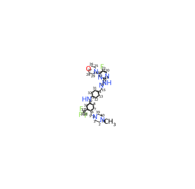 CN1CCN(Cc2ccc(Nc3ccc(/C=N/Nc4ncc(F)c(N5CCOCC5)n4)cc3)cc2C(F)(F)F)CC1